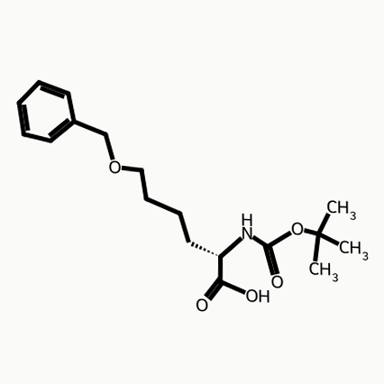 CC(C)(C)OC(=O)N[C@@H](CCCCOCc1ccccc1)C(=O)O